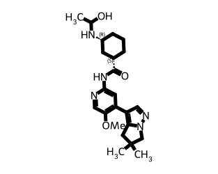 COc1cnc(NC(=O)[C@H]2CCC[C@@H](NC(C)O)C2)cc1-c1cnn2c1CC(C)(C)C2